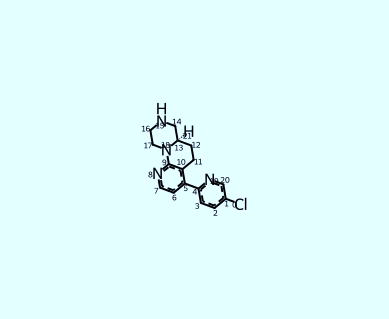 Clc1ccc(-c2ccnc3c2CC[C@@H]2CNCCN32)nc1